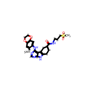 CSc1cc2c(cc1Nc1ncnc3[nH]c4c(c13)CC(C(=O)NCCCS(C)(=O)=O)CC4)OCCO2